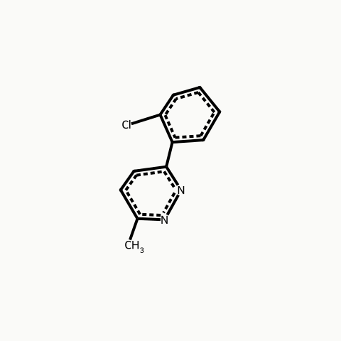 Cc1ccc(-c2ccccc2Cl)nn1